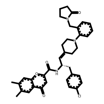 Cc1cc2oc(C(=O)N[C@H](C=C3CCN(c4ccccc4CN4CCCC4=O)CC3)Cc3ccc(Cl)cc3)cc(=O)c2cc1C